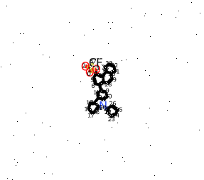 O=S(=O)(Oc1ccc(-c2ccc3c(c2)c2ccccc2n3-c2ccccc2)c2ccc3ccccc3c12)C(F)(F)F